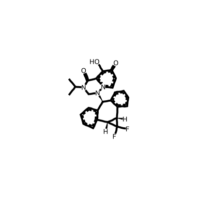 CC(C)N1CN([C@@H]2c3ccccc3[C@@H]3[C@H](c4ccccc42)C3(F)F)n2ccc(=O)c(O)c2C1=O